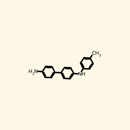 Cc1ccc(Nc2ccc(-c3ccc(N)cc3)cc2)cc1